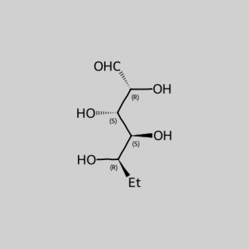 CC[C@@H](O)[C@H](O)[C@H](O)[C@@H](O)C=O